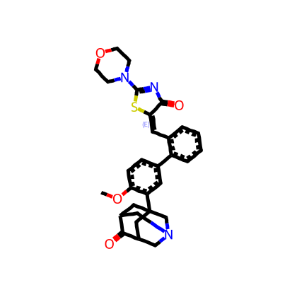 COc1ccc(-c2ccccc2/C=C2/SC(N3CCOCC3)=NC2=O)cc1C12CC3CN(CC(C1)C3=O)C2